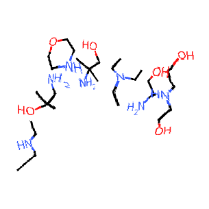 C1COCCN1.CC(C)(N)CO.CC(C)(O)CN.CCN(CC)CC.CCNCC.NCCO.OCCNCCO